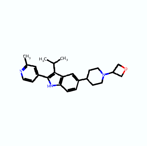 Cc1cc(-c2[nH]c3ccc(C4CCN(C5COC5)CC4)cc3c2C(C)C)ccn1